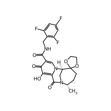 C[C@H]1CCC2(OCCO2)[C@H]2CN1C(=O)c1c(O)c(=O)c(C(=O)NCc3c(F)cc(F)cc3F)cn12